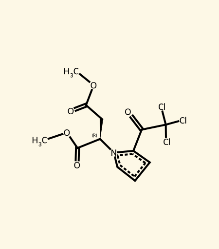 COC(=O)C[C@H](C(=O)OC)n1cccc1C(=O)C(Cl)(Cl)Cl